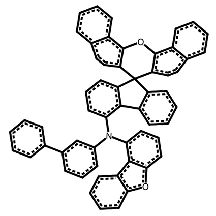 c1ccc(-c2cccc(N(c3cccc4c3-c3ccccc3C43c4ccc5ccccc5c4Oc4c3ccc3ccccc43)c3cccc4oc5ccccc5c34)c2)cc1